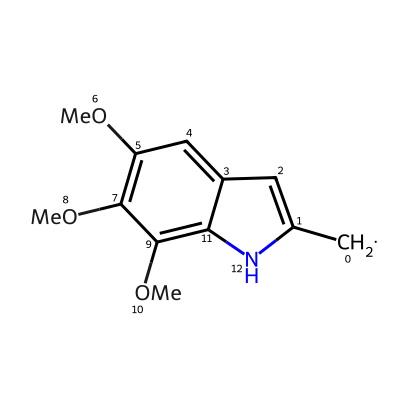 [CH2]c1cc2cc(OC)c(OC)c(OC)c2[nH]1